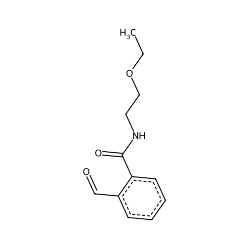 CCOCCNC(=O)c1ccccc1C=O